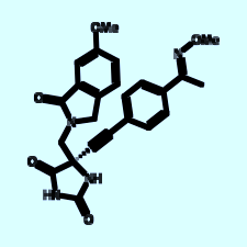 CON=C(C)c1ccc(C#C[C@]2(CN3Cc4ccc(OC)cc4C3=O)NC(=O)NC2=O)cc1